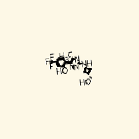 Cc1nc(N[C@H]2C[C@@H](CO)C2)nnc1-c1ccc(C(F)(F)F)cc1O